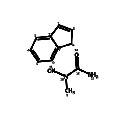 C1=Cc2ccccc2C1.CN(N=O)C(N)=O